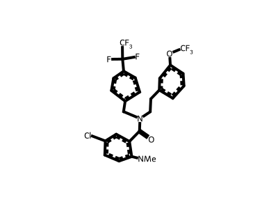 CNc1ccc(Cl)cc1C(=O)N(CCc1cccc(OC(F)(F)F)c1)Cc1ccc(C(F)(F)C(F)(F)F)cc1